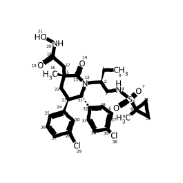 CC[C@@H](CNS(=O)(=O)C1(C)CC1)N1C(=O)[C@@](C)(CC(=O)NO)C[C@H](c2cccc(Cl)c2)[C@H]1c1ccc(Cl)cc1